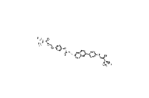 C=C(C)C(=O)COc1ccc(-c2ccc3cc(CCC(=O)Oc4ccc(OCOC(=O)C(=C)C)cc4)ccc3c2)cc1